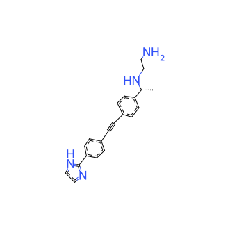 C[C@@H](NCCN)c1ccc(C#Cc2ccc(-c3ncc[nH]3)cc2)cc1